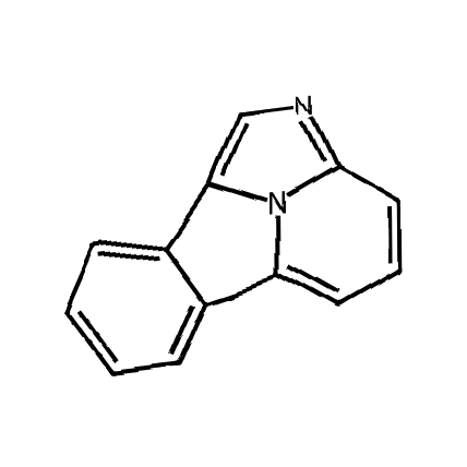 c1ccc2c(c1)c1cccc3ncc2n31